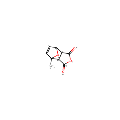 CC12C=CC(O1)C1C(=O)OC(=O)C12